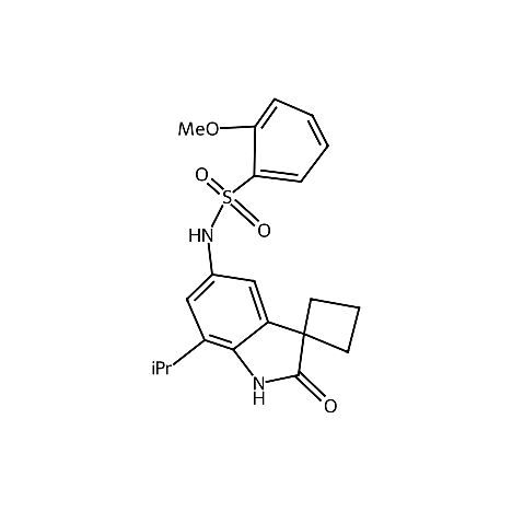 COc1ccccc1S(=O)(=O)Nc1cc(C(C)C)c2c(c1)C1(CCC1)C(=O)N2